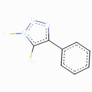 Sc1c(-c2ccccc2)nnn1S